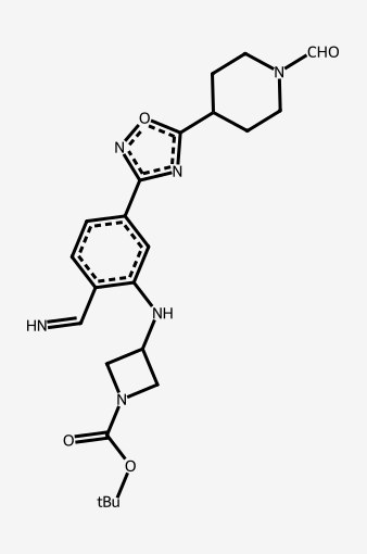 CC(C)(C)OC(=O)N1CC(Nc2cc(-c3noc(C4CCN(C=O)CC4)n3)ccc2C=N)C1